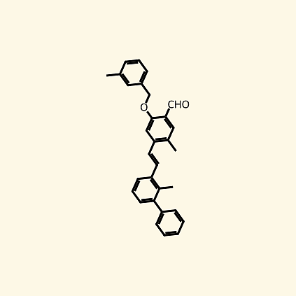 Cc1cccc(COc2cc(/C=C/c3cccc(-c4ccccc4)c3C)c(C)cc2C=O)c1